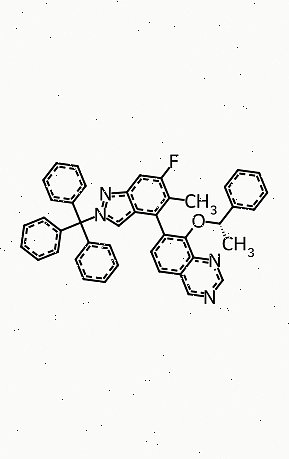 Cc1c(F)cc2nn(C(c3ccccc3)(c3ccccc3)c3ccccc3)cc2c1-c1ccc2cncnc2c1O[C@@H](C)c1ccccc1